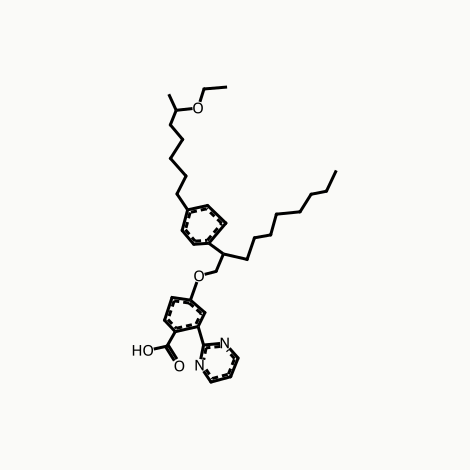 CCCCCCCCC(COc1ccc(C(=O)O)c(-c2ncccn2)c1)c1ccc(CCCCCC(C)OCC)cc1